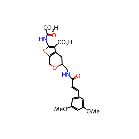 COc1cc(C=CC(=O)NCC2Cc3c(sc(NC(=O)C(=O)O)c3C(=O)O)CO2)cc(OC)c1